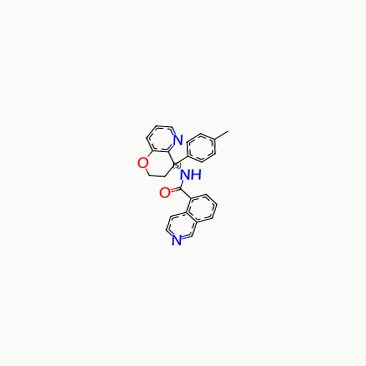 Cc1ccc([C@@]2(NC(=O)c3cccc4cnccc34)CCOc3cccnc32)cc1